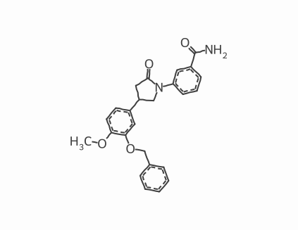 COc1ccc(C2CC(=O)N(c3cccc(C(N)=O)c3)C2)cc1OCc1ccccc1